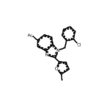 CC(=O)c1ccc2c(c1)nc(-c1ccc(C)o1)n2Cc1ccccc1Cl